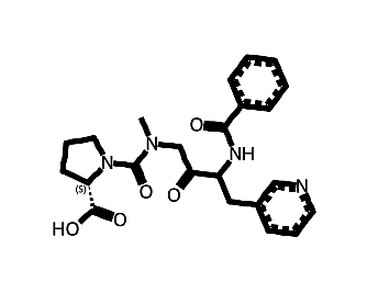 CN(CC(=O)C(Cc1cccnc1)NC(=O)c1ccccc1)C(=O)N1CCC[C@H]1C(=O)O